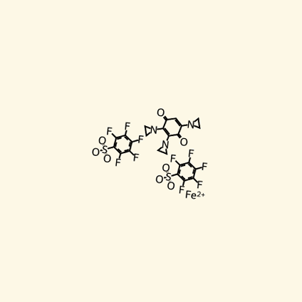 O=C1C=C(N2CC2)C(=O)C(N2CC2)=C1N1CC1.O=S(=O)([O-])c1c(F)c(F)c(F)c(F)c1F.O=S(=O)([O-])c1c(F)c(F)c(F)c(F)c1F.[Fe+2]